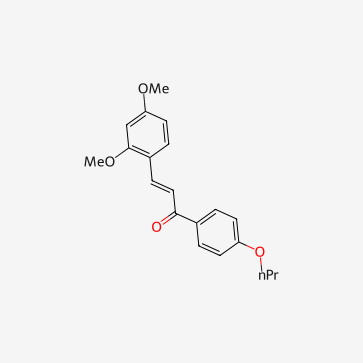 CCCOc1ccc(C(=O)/C=C/c2ccc(OC)cc2OC)cc1